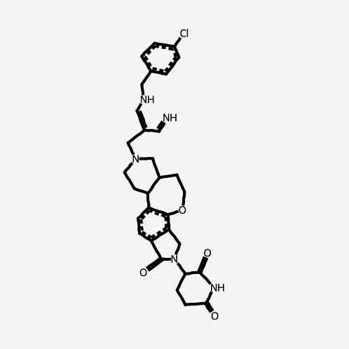 N=C/C(=C\NCc1ccc(Cl)cc1)CN1CCC2c3ccc4c(c3OCCC2C1)CN(C1CCC(=O)NC1=O)C4=O